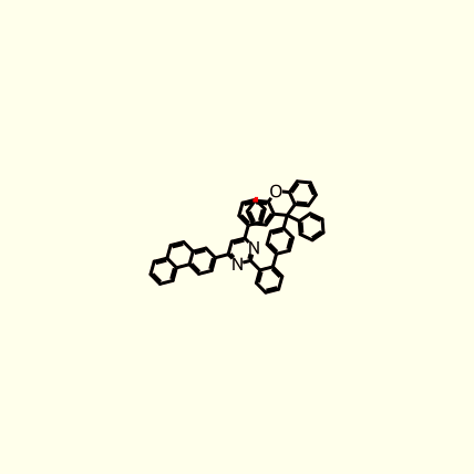 c1ccc(-c2cc(-c3ccc4c(ccc5ccccc54)c3)nc(-c3ccccc3-c3ccc(C4(c5ccccc5)c5ccccc5Oc5ccccc54)cc3)n2)cc1